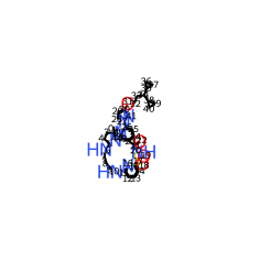 CC1(C)CCC2NCCCNc3cccc(n3)S(=O)(=O)NC(=O)c3ccc(-n4ccc(OCCC(C5CC5)C5CC5)n4)nc3N21